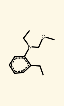 CCc1ccccc1N(CC)COC